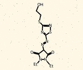 CCN1C(=O)C(/N=N/c2nc(SCCO)ns2)C(=O)N1CC